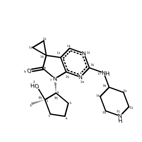 C[C@@]1(O)CCC[C@H]1N1C(=O)C2(CC2)c2cnc(NC3CCNCC3)nc21